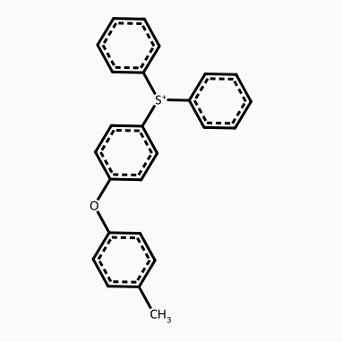 Cc1ccc(Oc2ccc([S+](c3ccccc3)c3ccccc3)cc2)cc1